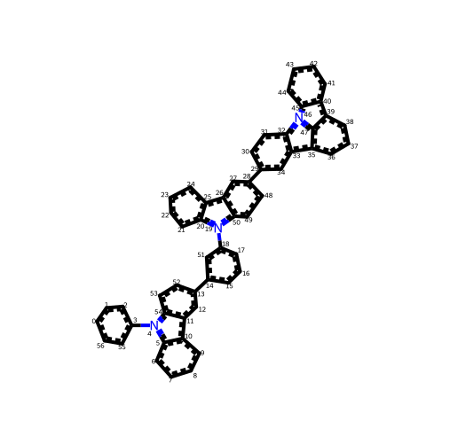 c1ccc(-n2c3ccccc3c3cc(-c4cccc(-n5c6ccccc6c6cc(-c7ccc8c(c7)c7cccc9c%10ccccc%10n8c97)ccc65)c4)ccc32)cc1